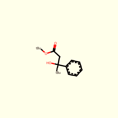 CC(C)(C)OC(=O)CC(O)(c1ccccc1)C(C)(C)C